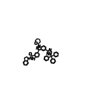 O=C(N[C@@H]1CCc2ccccc21)c1cccc(-c2nn(C3CCCCO3)c3ccc(-c4ncn(C(c5ccccc5)(c5ccccc5)c5ccccc5)n4)cc23)c1